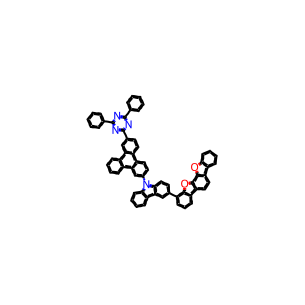 c1ccc(-c2nc(-c3ccccc3)nc(-c3ccc4c5ccc(-n6c7ccccc7c7cc(-c8cccc9c8oc8c9ccc9c%10ccccc%10oc98)ccc76)cc5c5ccccc5c4c3)n2)cc1